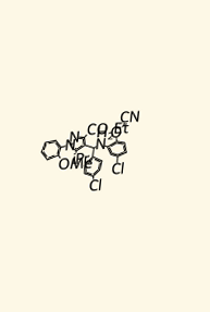 CCOC(=O)c1nn(-c2ccccc2OC)c(C(C)C)c1C(Nc1cc(Cl)ccc1OCC#N)c1ccc(Cl)cc1